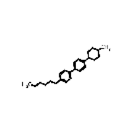 CCCCCCc1ccc(-c2ccc(C3CCC(C)CC3)cc2)cc1